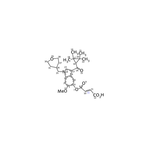 COc1cc2c(cc1OC(=O)/C=C/C(=O)O)c(C(=O)C1C(C)(C)C1(C)C)cn2CC1CCOCC1